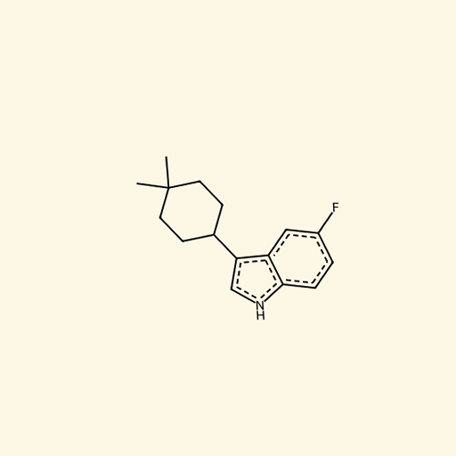 CC1(C)CCC(c2c[nH]c3ccc(F)cc23)CC1